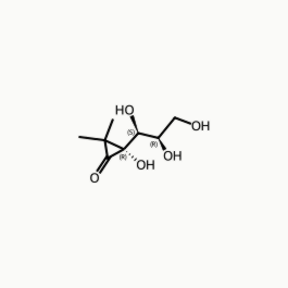 CC1(C)C(=O)[C@]1(O)[C@@H](O)[C@H](O)CO